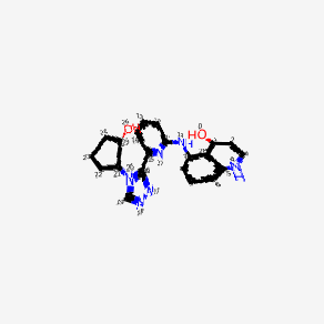 OC1C=CNc2cccc(Nc3cccc(-c4nncn4C4CCC[C@@H]4O)n3)c21